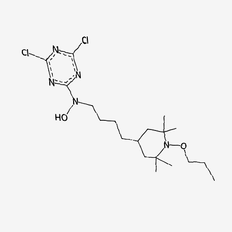 CCCON1C(C)(C)CC(CCCCN(O)c2nc(Cl)nc(Cl)n2)CC1(C)C